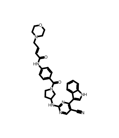 N#Cc1cnc(NC2CCN(C(=O)c3ccc(NC(=O)C=CCN4CCOCC4)cc3)C2)nc1-c1c[nH]c2ccccc12